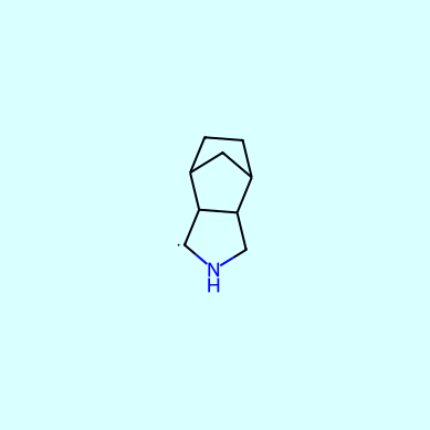 [CH]1NCC2C3CCC(C3)C12